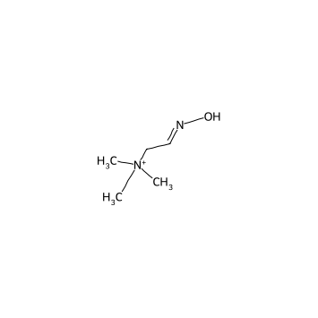 C[N+](C)(C)CC=NO